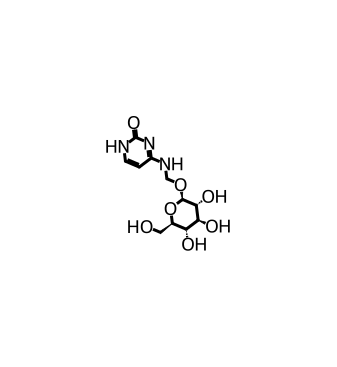 O=c1nc(NCO[C@@H]2O[C@H](CO)[C@@H](O)[C@H](O)[C@H]2O)cc[nH]1